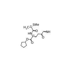 CS[C@@H](C)C(=O)N[C@@H](CCC(=O)C=N)C(=O)OC1CCCC1